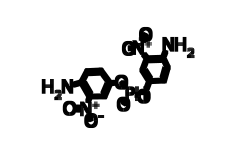 Nc1ccc(O[PH](=O)Oc2ccc(N)c([N+](=O)[O-])c2)cc1[N+](=O)[O-]